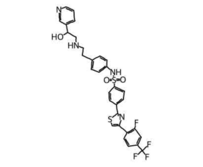 O=S(=O)(Nc1ccc(CCNCC(O)c2cccnc2)cc1)c1ccc(-c2nc(-c3ccc(C(F)(F)F)cc3F)cs2)cc1